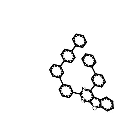 c1ccc(-c2ccc(-c3cccc(-c4cccc(-c5nc(-c6cccc(-c7ccccc7)c6)c6c(n5)oc5ccccc56)c4)c3)cc2)cc1